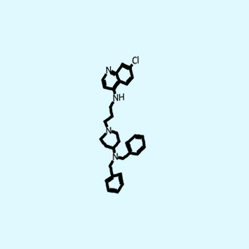 Clc1ccc2c(NCCCN3CCC(N(Cc4ccccc4)Cc4ccccc4)CC3)ccnc2c1